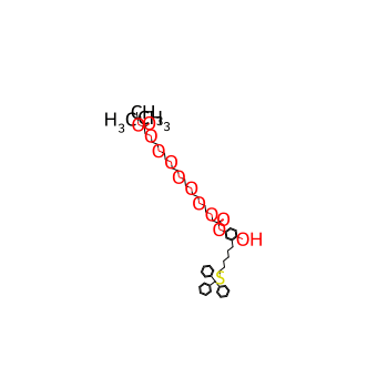 CC(C)(C)OC(=O)COCCOCCOCCOCCOCCOCCOCC(=O)Oc1ccc(O)c(CCCCCCSC(c2ccccc2)(c2ccccc2)c2ccccc2)c1